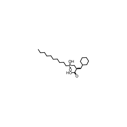 CCCCCCCCCCP(=O)(O)CC(=CC1CCCCC1)C(=O)O